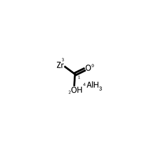 O=[C](O)[Zr].[AlH3]